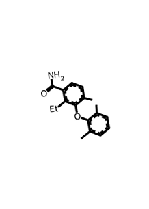 CCc1c(C(N)=O)ccc(C)c1Oc1c(C)cccc1C